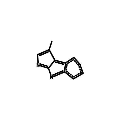 CC1=CN=C2N=c3ccccc3=C12